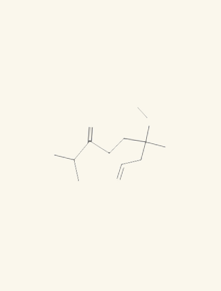 CSC(C)(CC=O)CCC(=O)C(C)C